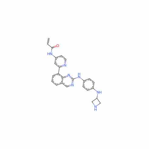 C=CC(=O)Nc1ccnc(-c2cccc3cnc(Nc4ccc(NC5CNC5)cc4)nc23)c1